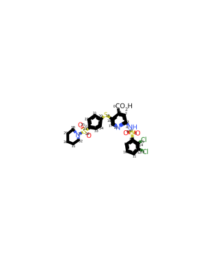 O=C(O)c1cc(NS(=O)(=O)c2cccc(Cl)c2Cl)ncc1Sc1ccc(S(=O)(=O)N2CCCCC2)cc1